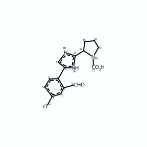 O=Cc1cc(Cl)ccc1-c1cnc(C2CCCN2C(=O)O)[nH]1